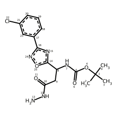 CC(C)(C)OC(=O)NC(CC(=O)NN)c1nc(-c2cccc(Cl)c2)no1